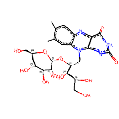 Cc1cc2nc3c(=O)[nH]c(=O)nc-3n(C[C@@H](O[C@H]3O[C@H](CO)[C@@H](O)[C@H](O)[C@H]3O)[C@@H](O)[C@@H](O)CO)c2cc1C